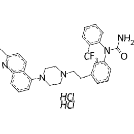 Cc1ccc2c(N3CCN(CCc4cccc(N(C(N)=O)c5ccccc5C(F)(F)F)c4)CC3)cccc2n1.Cl.Cl